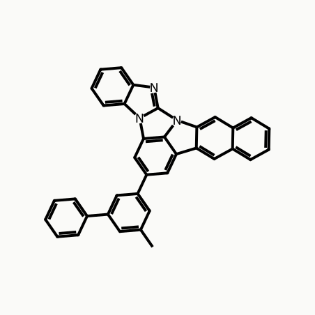 Cc1cc(-c2ccccc2)cc(-c2cc3c4cc5ccccc5cc4n4c3c(c2)n2c3ccccc3nc24)c1